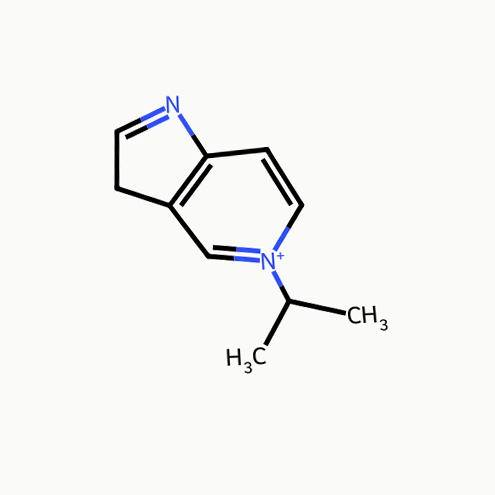 CC(C)[n+]1ccc2c(c1)CC=N2